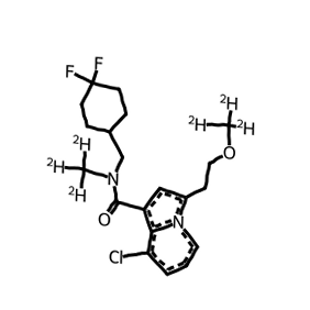 [2H]C([2H])([2H])OCCc1cc(C(=O)N(CC2CCC(F)(F)CC2)C([2H])([2H])[2H])c2c(Cl)cccn12